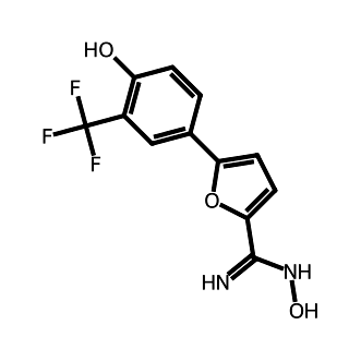 N=C(NO)c1ccc(-c2ccc(O)c(C(F)(F)F)c2)o1